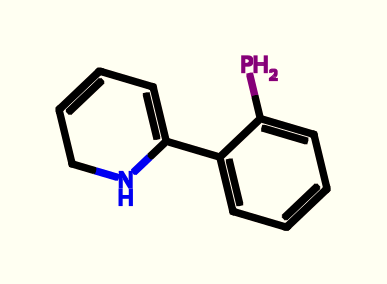 Pc1ccccc1C1=CC=CCN1